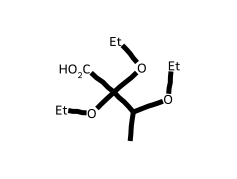 CCOC(C)C(OCC)(OCC)C(=O)O